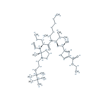 CCCCCCN(C(=O)[C@H]([C@@H](C)CC)N(C=O)[C@]1(C)CCCN1CCO[Si](C)(C)C(C)(C)C)[C@H](C[C@@H](O)c1nc(C(=O)OCC)cs1)C(C)C